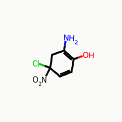 NC1=C(O)C=CC(Cl)([N+](=O)[O-])C1